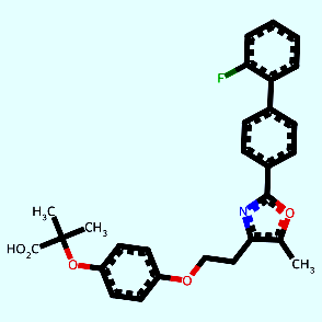 Cc1oc(-c2ccc(-c3ccccc3F)cc2)nc1CCOc1ccc(OC(C)(C)C(=O)O)cc1